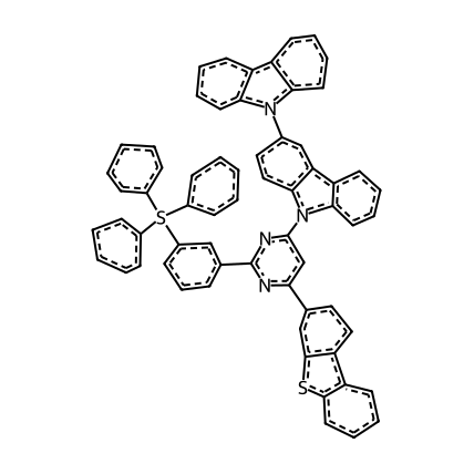 c1ccc(S(c2ccccc2)(c2ccccc2)c2cccc(-c3nc(-c4ccc5c(c4)sc4ccccc45)cc(-n4c5ccccc5c5cc(-n6c7ccccc7c7ccccc76)ccc54)n3)c2)cc1